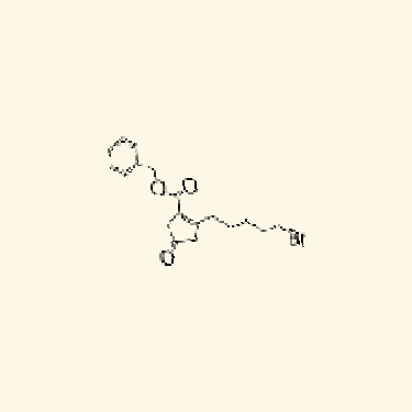 O=C1CC(CCCCCBr)=C(C(=O)OCc2ccccc2)C1